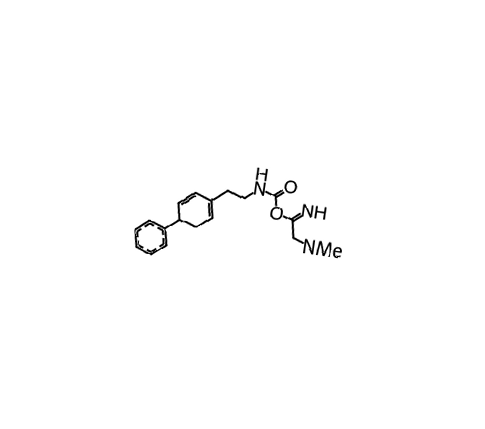 CNCC(=N)OC(=O)NCCC1=CCC(c2ccccc2)C=C1